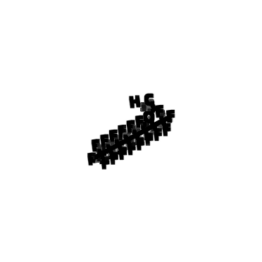 CCOC(F)(C(F)(F)F)C(F)(F)C(F)(F)C(F)(F)C(F)(F)C(F)(F)C(F)(F)F